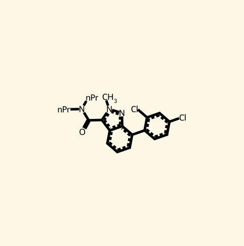 CCCN(CCC)C(=O)c1c2cccc(-c3ccc(Cl)cc3Cl)c2nn1C